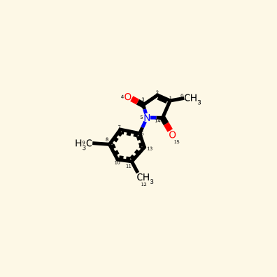 CC1=CC(=O)N(c2cc(C)cc(C)c2)C1=O